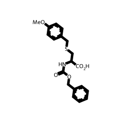 COc1ccc(CSCC(NC(=O)OCc2ccccc2)C(=O)O)cc1